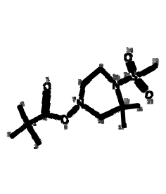 CC(C)(C)C(=O)ON1CCN(S(C)(=O)=O)C(C)(C)C1